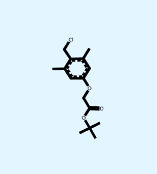 Cc1cc(OCC(=O)OC(C)(C)C)cc(C)c1CCl